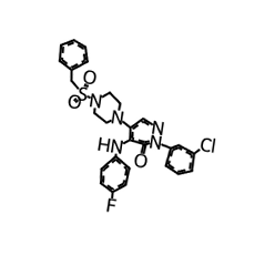 O=c1c(Nc2ccc(F)cc2)c(N2CCN(S(=O)(=O)Cc3ccccc3)CC2)cnn1-c1cccc(Cl)c1